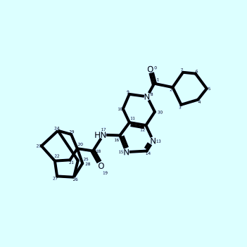 O=C(C1CCCCC1)N1CCc2c(ncnc2NC(=O)C23CC4CC(CC(C4)C2)C3)C1